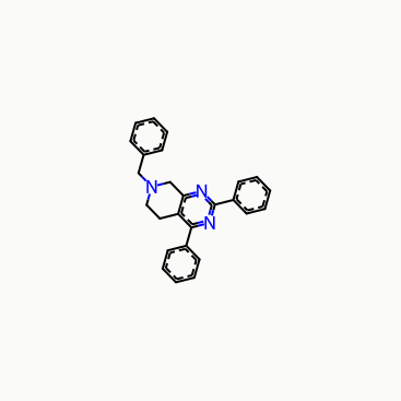 c1ccc(CN2CCc3c(nc(-c4ccccc4)nc3-c3ccccc3)C2)cc1